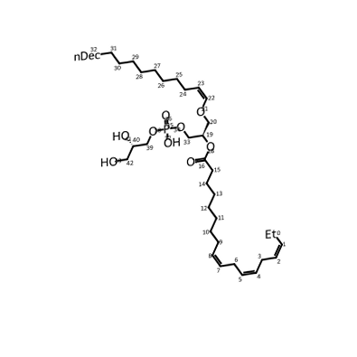 CC/C=C\C/C=C\C/C=C\CCCCCCCC(=O)O[C@H](CO/C=C\CCCCCCCCCCCCCCCCCC)COP(=O)(O)OC[C@@H](O)CO